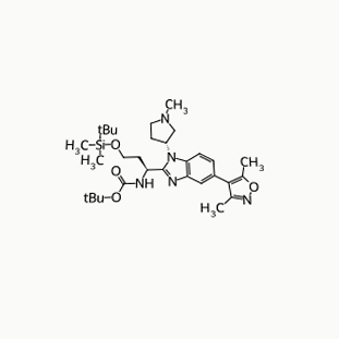 Cc1noc(C)c1-c1ccc2c(c1)nc([C@H](CCO[Si](C)(C)C(C)(C)C)NC(=O)OC(C)(C)C)n2[C@@H]1CCN(C)C1